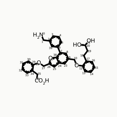 NCc1cccc(-c2cc(COc3ccccc3CCC(O)O)cc3cc(COc4ccccc4CC(=O)O)oc23)c1